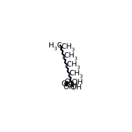 CC(C)=CCC/C(C)=C/CC/C(C)=C/CC/C(C)=C/CC(OP(=O)(O)O)C(O)CO